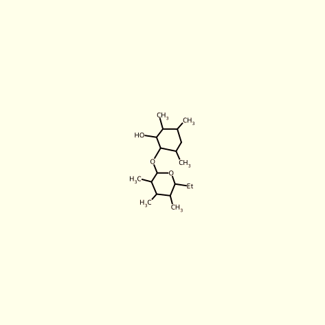 CCC1OC(OC2C(C)CC(C)C(C)C2O)C(C)C(C)C1C